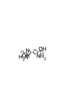 Nc1cc(-c2cnc(C3(O)CCC3)c(N)c2)ccc1C1(O)CCC1